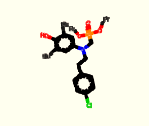 CC(C)OP(=O)(CN(CCc1ccc(Cl)cc1)c1cc(C(C)(C)C)c(O)c(C(C)(C)C)c1)OC(C)C